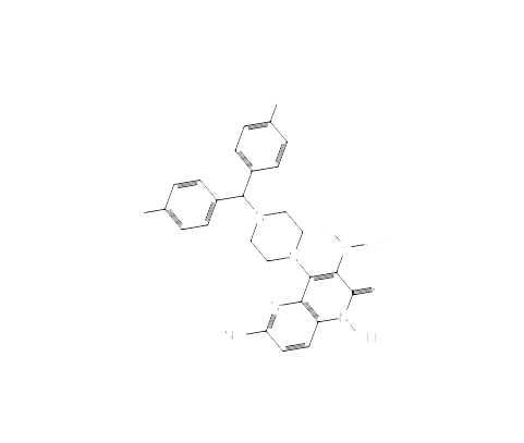 Cn1c(=O)c(B(O)O)c(N2CCN(C(c3ccc(F)cc3)c3ccc(F)cc3)CC2)c2nc(C#N)ccc21